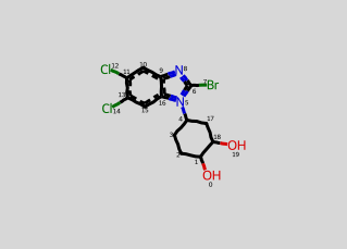 OC1CCC(n2c(Br)nc3cc(Cl)c(Cl)cc32)CC1O